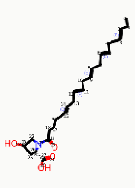 CC/C=C/C/C=C/C/C=C/C/C=C/C/C=C/CCCC(=O)N1CC(O)C[C@H]1C(=O)O